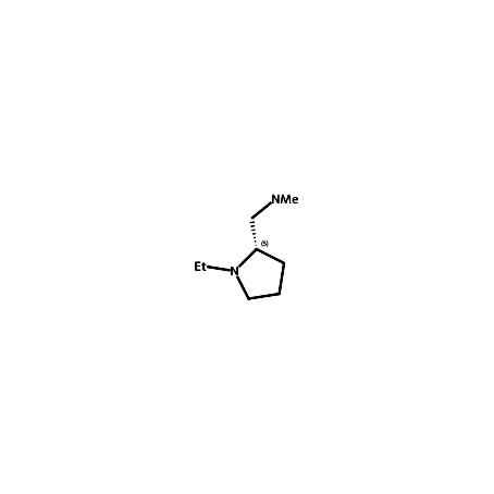 CCN1CCC[C@H]1CNC